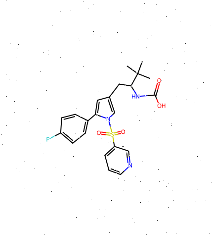 CC(C)(C)C(Cc1cc(-c2ccc(F)cc2)n(S(=O)(=O)c2cccnc2)c1)NC(=O)O